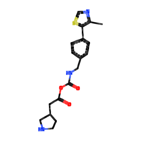 Cc1ncsc1-c1ccc(CNC(=O)OC(=O)CC2CCNC2)cc1